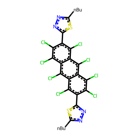 CCCCc1nnc(-c2c(Cl)c(Cl)c3c(Cl)c4c(Cl)c(-c5nnc(CCCC)s5)c(Cl)c(Cl)c4c(Cl)c3c2Cl)s1